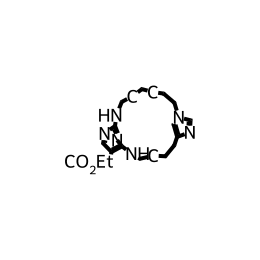 CCOC(=O)c1cnc2nc1NCCCCc1cn(cn1)CCCCCCN2